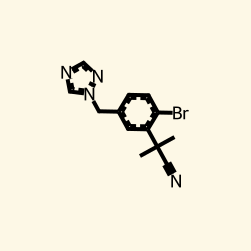 CC(C)(C#N)c1cc(Cn2cncn2)ccc1Br